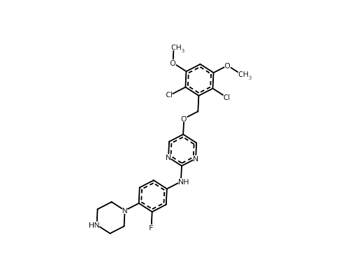 COc1cc(OC)c(Cl)c(COc2cnc(Nc3ccc(N4CCNCC4)c(F)c3)nc2)c1Cl